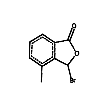 Cc1cccc2c1C(Br)OC2=O